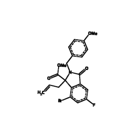 C=CCC1(C(=O)OC)c2c(Br)cc(F)cc2C(=O)N1Cc1ccc(OC)cc1